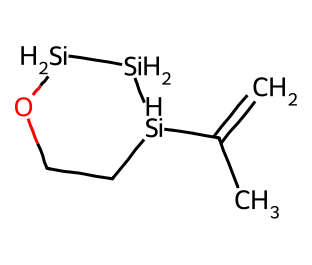 C=C(C)[SiH]1CCO[SiH2][SiH2]1